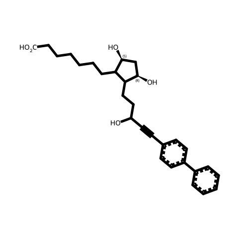 O=C(O)CCCCCCC1C(CCC(O)C#Cc2ccc(-c3ccccc3)cc2)[C@H](O)C[C@@H]1O